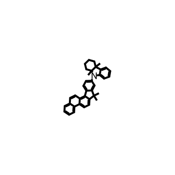 CC1(C)c2cc(N3c4ccccc4C4(C)CCCCC34C)ccc2-c2c1ccc1c2ccc2ccccc21